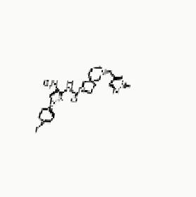 Cn1cc(CN2CCCC3(CCN(C(=O)Nc4nn(-c5ccc(F)cc5)cc4[N+](=O)[O-])C3)C2)cn1